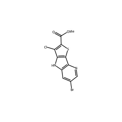 COC(=O)c1sc2c([nH]c3cc(Br)cnc32)c1Cl